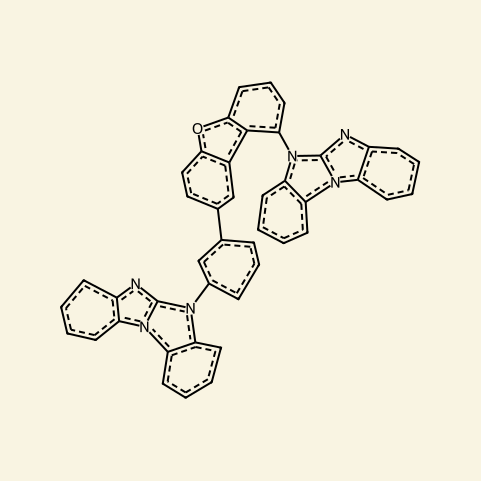 c1cc(-c2ccc3oc4cccc(-n5c6ccccc6n6c7ccccc7nc56)c4c3c2)cc(-n2c3ccccc3n3c4ccccc4nc23)c1